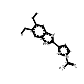 CCc1cc2nc(-c3[c]cn(C(N)=O)n3)[nH]c2cc1CC